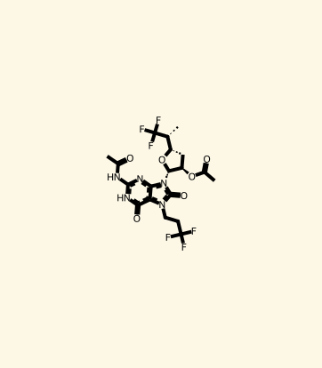 CC(=O)Nc1nc2c(c(=O)[nH]1)n(CCC(F)(F)F)c(=O)n2[C@@H]1O[C@H]([C@@H](C)C(F)(F)F)C[C@H]1OC(C)=O